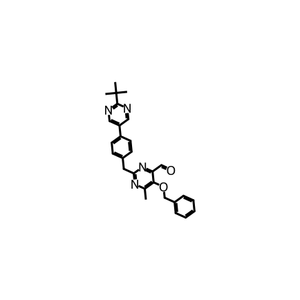 Cc1nc(Cc2ccc(-c3cnc(C(C)(C)C)nc3)cc2)nc(C=O)c1OCc1ccccc1